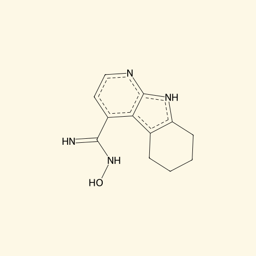 N=C(NO)c1ccnc2[nH]c3c(c12)CCCC3